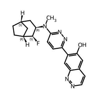 CN(c1ccc(-c2cc3nnccc3cc2O)nn1)[C@@H]1C[C@H]2CC[C@H](C2)[C@@H]1F